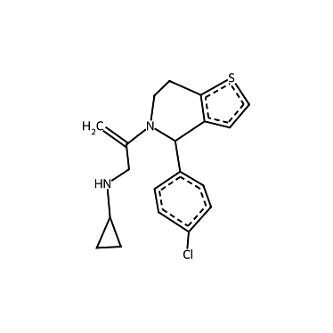 C=C(CNC1CC1)N1CCc2sccc2C1c1ccc(Cl)cc1